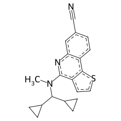 CN(c1nc2cc(C#N)ccc2c2sccc12)C(C1CC1)C1CC1